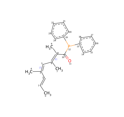 CC=C/C(C)=C\C(C)=C(/C)C(=O)P(c1ccccc1)c1ccccc1